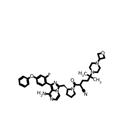 CC(C)(CCC(C#N)C(=O)N1CCC[C@H]1Cc1nc(-c2ccc(Oc3ccccc3)cc2F)c2c(N)nccn12)N1CCN(C2COC2)CC1